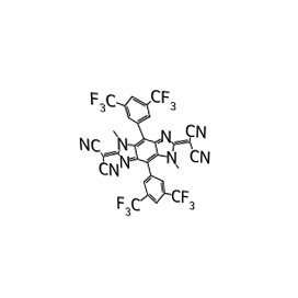 Cn1c(=C(C#N)C#N)nc2c(-c3cc(C(F)(F)F)cc(C(F)(F)F)c3)c3c(nc(=C(C#N)C#N)n3C)c(-c3cc(C(F)(F)F)cc(C(F)(F)F)c3)c21